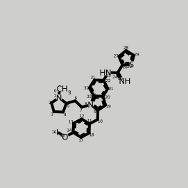 CN1CCCC1CCn1c(Cc2ccc(OI)cc2)cc2cc(NC(=N)c3cccs3)ccc21